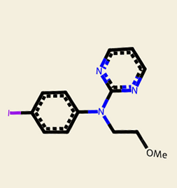 COCCN(c1ccc(I)cc1)c1ncccn1